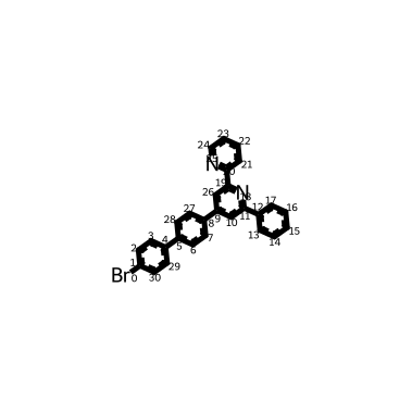 Brc1ccc(-c2ccc(-c3cc(-c4ccccc4)nc(-c4ccccn4)c3)cc2)cc1